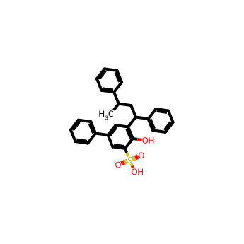 CC(CC(c1ccccc1)c1cc(-c2ccccc2)cc(S(=O)(=O)O)c1O)c1ccccc1